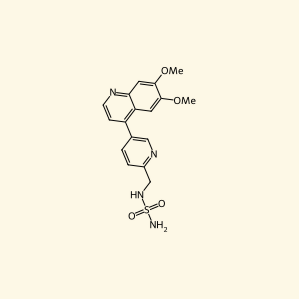 COc1cc2nccc(-c3ccc(CNS(N)(=O)=O)nc3)c2cc1OC